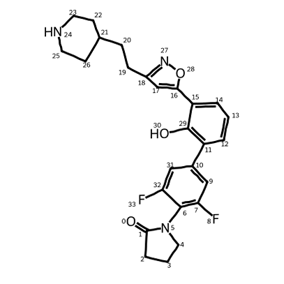 O=C1CCCN1c1c(F)cc(-c2cccc(-c3cc(CCC4CCNCC4)no3)c2O)cc1F